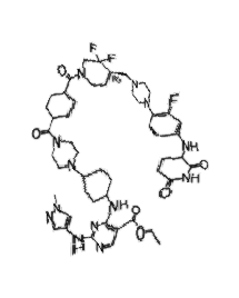 CCOC(=O)c1cnc(Nc2cnn(C)c2)nc1NC1CCC(N2CCN(C(=O)C3CCC(C(=O)N4CC[C@H](CN5CCN(c6ccc(NC7CCC(=O)NC7=O)cc6F)CC5)C(F)(F)C4)CC3)CC2)CC1